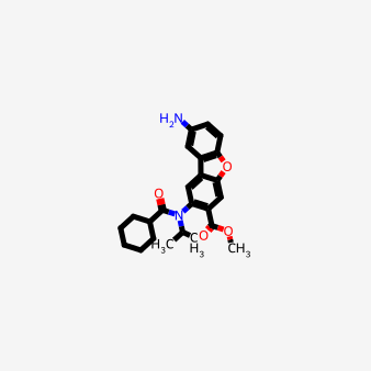 COC(=O)c1cc2oc3ccc(N)cc3c2cc1N(C(=O)C1CCCCC1)C(C)C